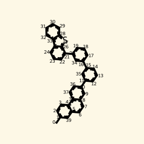 Cc1ccc2c(ccc3cc(-c4cccc(-c5cccc(-c6cccc7c6sc6ccccc67)c5)c4)ccc32)c1